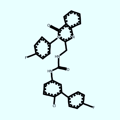 O=C(NCc1nc2ccccc2c(=O)n1-c1ccc(F)cc1)Nc1ccc(Cl)c(-c2ccc(F)cc2)c1